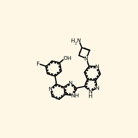 NC1CN(c2cc3c(-c4nc5c(-c6cc(O)cc(F)c6)nccc5[nH]4)[nH]nc3cn2)C1